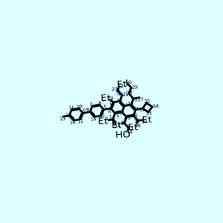 C=C(CC)c1c(-c2ccc(-c3ccc(C)cc3)cc2)c(CC)c(/C=C/CC)c2c(C(C)CCI)c(C3CCC3)c(C(CC)CC)c(C(CC)CO)c12